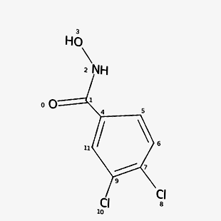 O=C(NO)c1ccc(Cl)c(Cl)c1